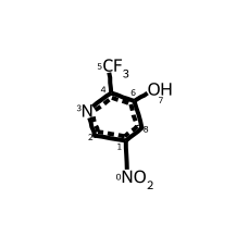 O=[N+]([O-])c1cnc(C(F)(F)F)c(O)c1